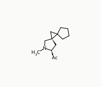 CC(=O)[C@@H]1C[C@@]2(CN1C)CC21CCCC1